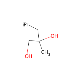 CC(C)CC(C)(O)CO